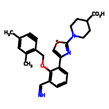 Cc1c#cc(COc2c(C=N)cccc2-c2csc(N3CCC(C(=O)O)CC3)n2)c(C)c1